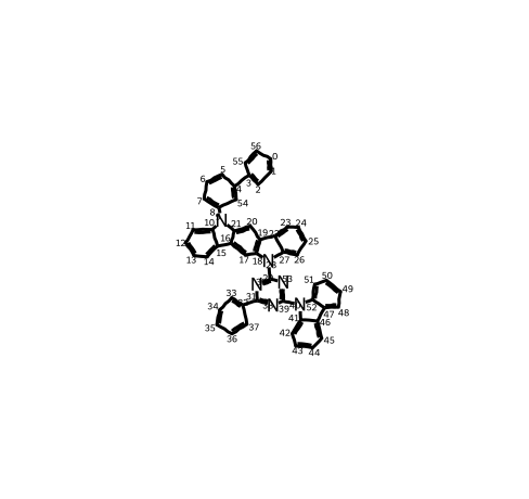 c1ccc(-c2cccc(-n3c4ccccc4c4cc5c(cc43)c3ccccc3n5-c3nc(-c4ccccc4)nc(-n4c5ccccc5c5ccccc54)n3)c2)cc1